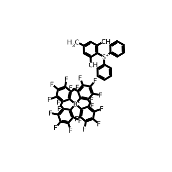 Cc1cc(C)c([S+](c2ccccc2)c2ccccc2)c(C)c1.Fc1c(F)c(F)c([B-](c2c(F)c(F)c(F)c(F)c2F)(c2c(F)c(F)c(F)c(F)c2F)c2c(F)c(F)c(F)c(F)c2F)c(F)c1F